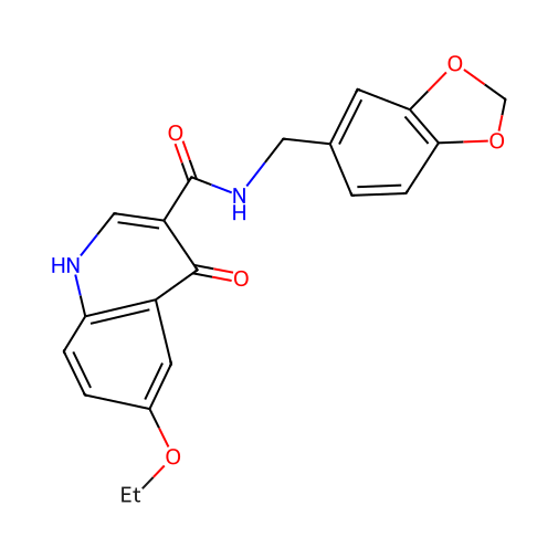 CCOc1ccc2[nH]cc(C(=O)NCc3ccc4c(c3)OCO4)c(=O)c2c1